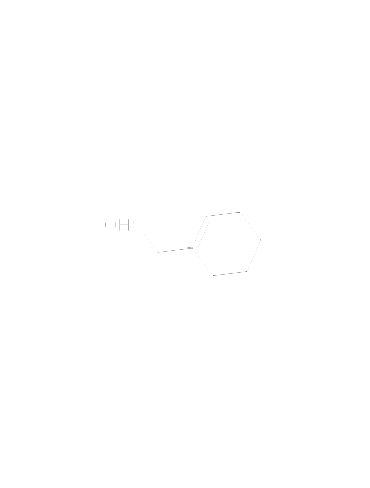 O=[C]CC1=CCCCC1